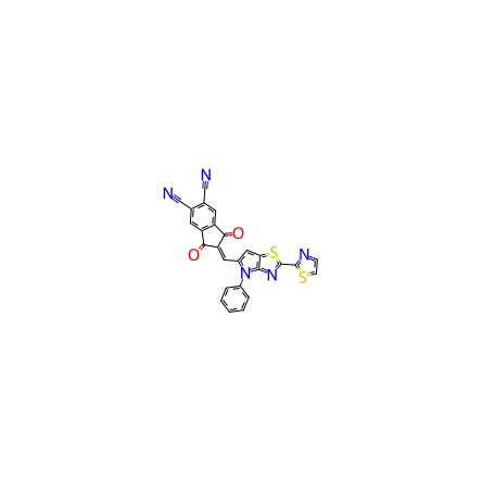 N#Cc1cc2c(cc1C#N)C(=O)C(=Cc1cc3sc(-c4nccs4)nc3n1-c1ccccc1)C2=O